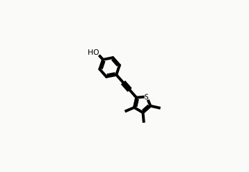 Cc1sc(C#Cc2ccc(O)cc2)c(C)c1C